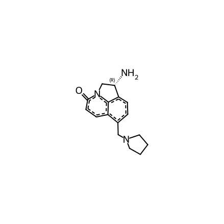 N[C@H]1Cn2c(=O)ccc3c(CN4CCCC4)ccc1c32